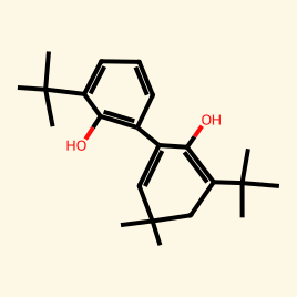 CC1(C)C=C(c2cccc(C(C)(C)C)c2O)C(O)=C(C(C)(C)C)C1